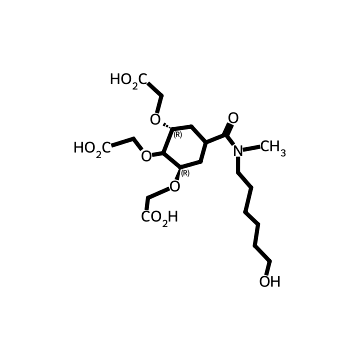 CN(CCCCCCO)C(=O)C1C[C@@H](OCC(=O)O)C(OCC(=O)O)[C@H](OCC(=O)O)C1